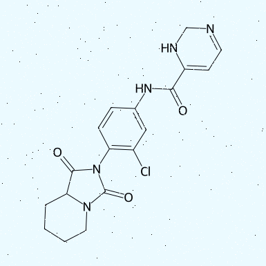 O=C(Nc1ccc(N2C(=O)C3CCCCN3C2=O)c(Cl)c1)C1=CC=NCN1